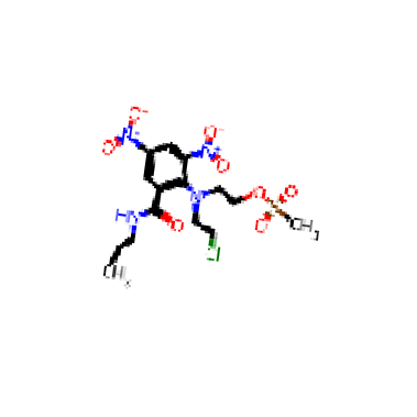 CCCNC(=O)c1cc([N+](=O)[O-])cc([N+](=O)[O-])c1N(CCCl)CCOS(C)(=O)=O